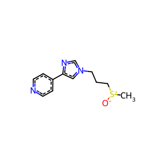 C[S+]([O-])CCCn1cnc(-c2ccncc2)c1